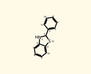 c1ccc([C]2Nc3ccccc3S2)cc1